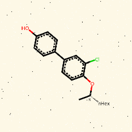 CCCCCC[C@H](C)Oc1ccc(-c2ccc(O)cc2)cc1Cl